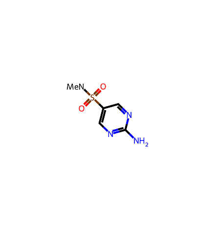 CNS(=O)(=O)c1cnc(N)nc1